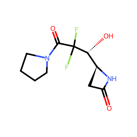 O=C1C[C@@H]([C@@H](O)C(F)(F)C(=O)N2CCCC2)N1